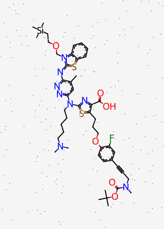 Cc1cc(N(CCCCCN(C)C)c2nc(C(=O)O)c(CCCOc3ccc(C#CCN(C)C(=O)OC(C)(C)C)cc3F)s2)nnc1/N=c1\sc2ccccc2n1COCC[Si](C)(C)C